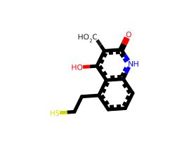 O=C(O)c1c(O)c2c(CCS)cccc2[nH]c1=O